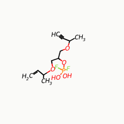 C#CC(C)OCC(COC(C)C=C)OP(O)(O)(F)F